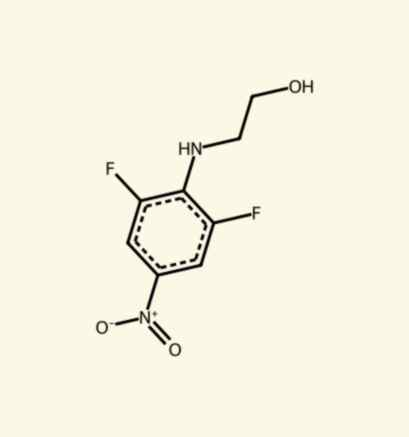 O=[N+]([O-])c1cc(F)c(NCCO)c(F)c1